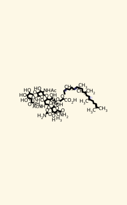 C=C(C/C=C(\C)CCC=C(C)C)CCC(C)(C)/C=C/CC/C(C)=C\COC(COP(=O)(O)OC1OC(C(N)=O)C(C)(O)C(OC(N)=O)C1OC1OC(CO)C(OC2OC(C)C(OC3OC(C(N)=O)C(O)C(O)C3O)C(O)C2NC(C)=O)C(O)C1NC(C)=O)C(=O)O